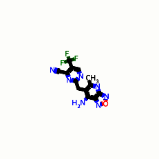 Cc1nc2nonc2c(N)c1Cc1ncc(C(F)(F)F)c(C#N)n1